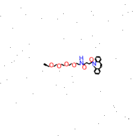 C#CCOCCOCCOCCOCCNC(=O)CCC(=O)N1Cc2ccccc2C#Cc2ccccc21